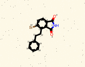 O=C1NC(=O)c2c1ccc(Br)c2CCc1ccccc1